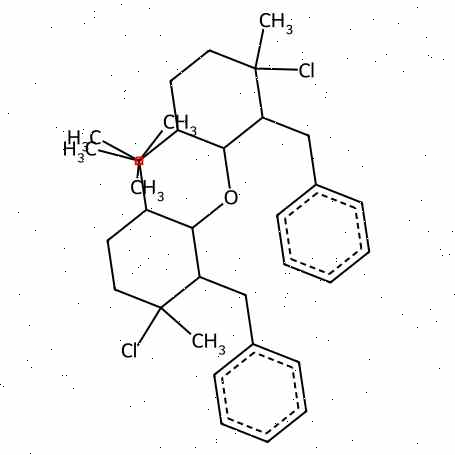 CC(C)C1CCC(C)(Cl)C(Cc2ccccc2)C1OC1C(C(C)C)CCC(C)(Cl)C1Cc1ccccc1